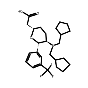 O=C(O)C[C@@H]1CC[C@@H](N(CC2CCCC2)CC2CCCC2)[C@H](c2cccc(C(F)(F)F)c2)O1